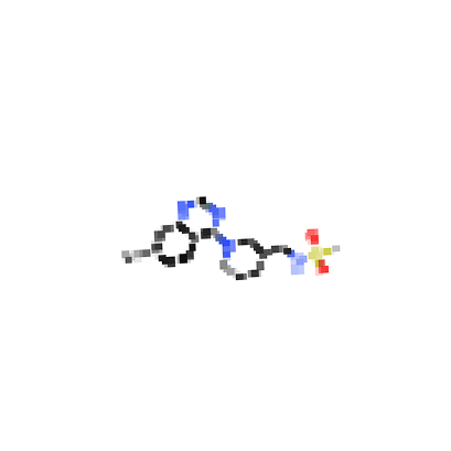 CS(=O)(=O)NCC1CCCN(c2ncnc3cc(C#N)ccc23)C1